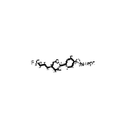 CCCCCCCO[C@H]1CC[C@H]([C@H]2OC[C@H](CCCC(F)(F)F)CO2)CC1